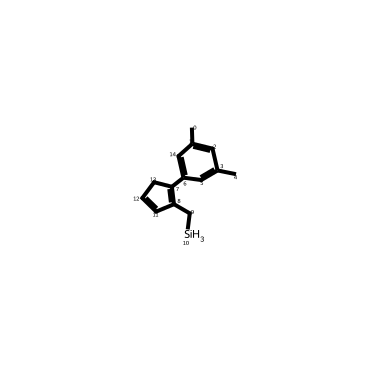 Cc1cc(C)cc(C2=C(C[SiH3])C=CC2)c1